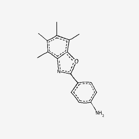 Cc1c(C)c(C)c2oc(-c3ccc(N)cc3)nc2c1C